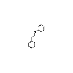 C(Cc1ccccc1)=Nc1ccccc1